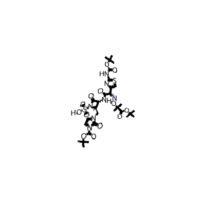 CC(C)(C)OC(=O)Nc1nc(/C(=N/OC(C)(C)C(=O)OC(C)(C)C)C(=O)N[C@@H]2C(=O)N(S(=O)(=O)O)[C@@H]2Cn2ccn(C(=O)OC(C)(C)C)c2=O)cs1